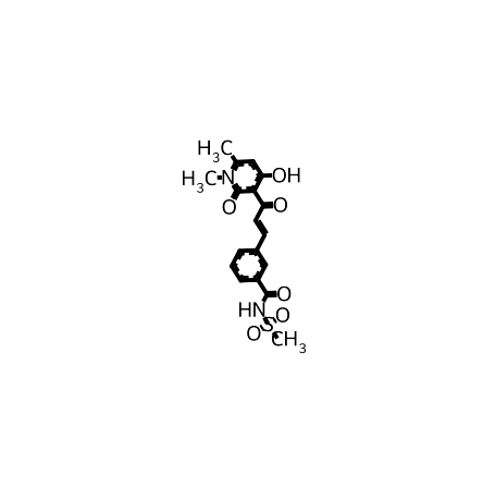 Cc1cc(O)c(C(=O)C=Cc2cccc(C(=O)NS(C)(=O)=O)c2)c(=O)n1C